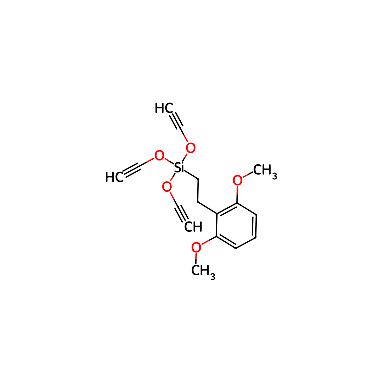 C#CO[Si](CCc1c(OC)cccc1OC)(OC#C)OC#C